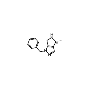 C[C@H]1NCc2c1cnn2Cc1ccccc1